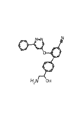 N#Cc1ccc(-c2ccc(C(O)CN)cc2)c(Oc2cnnc(-c3ccccc3)c2)c1